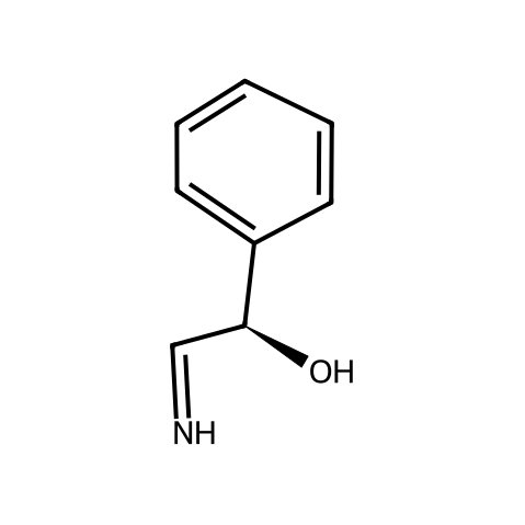 N=C[C@H](O)c1ccccc1